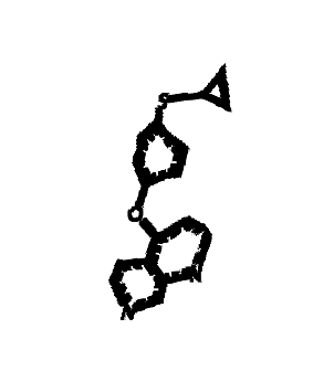 c1cc2c(Oc3ccc(SC4CC4)cc3)ccnc2cn1